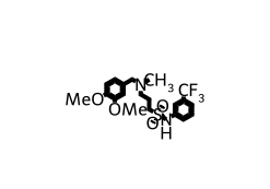 COc1ccc(CN(C)CCCS(=O)(=O)Nc2cccc(C(F)(F)F)c2)cc1OC